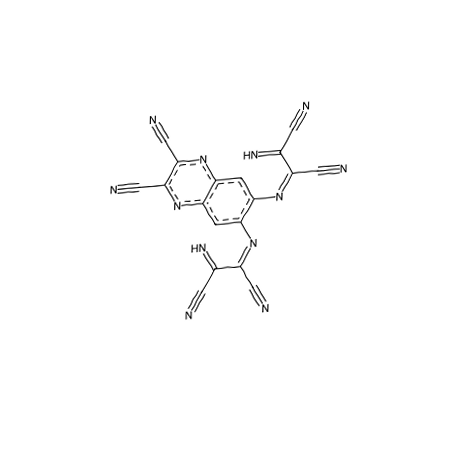 N#CC(=N)/C(C#N)=N\c1cc2nc(C#N)c(C#N)nc2cc1/N=C(/C#N)C(=N)C#N